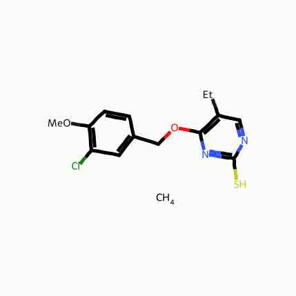 C.CCc1cnc(S)nc1OCc1ccc(OC)c(Cl)c1